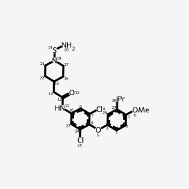 COc1ccc(Oc2c(Cl)cc(NC(=O)CC3CCN(SN)CC3)cc2Cl)cc1C(C)C